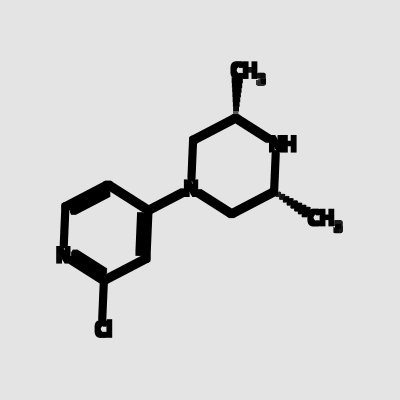 C[C@@H]1CN(c2ccnc(Cl)c2)C[C@H](C)N1